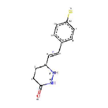 O=C1CCC(/C=C/c2ccc(S)cc2)NN1